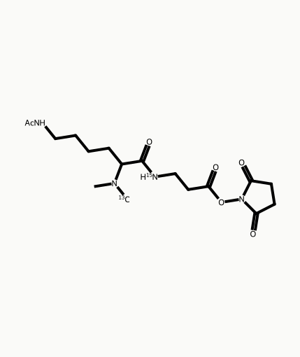 CN([13CH3])C(CCCCN[13C]([13CH3])=O)C(=O)[15NH]CCC(=O)ON1C(=O)CCC1=O